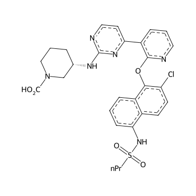 CCCS(=O)(=O)Nc1cccc2c(Oc3ncccc3-c3ccnc(N[C@H]4CCCN(C(=O)O)C4)n3)c(Cl)ccc12